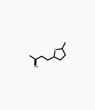 CC(=P)CCC1CCC(C)O1